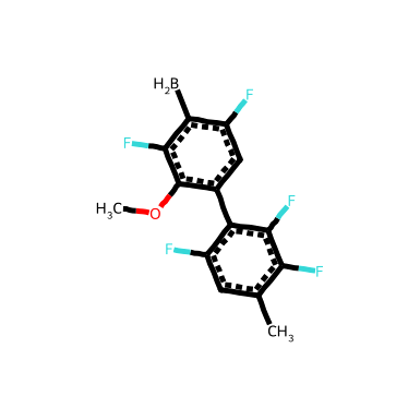 Bc1c(F)cc(-c2c(F)cc(C)c(F)c2F)c(OC)c1F